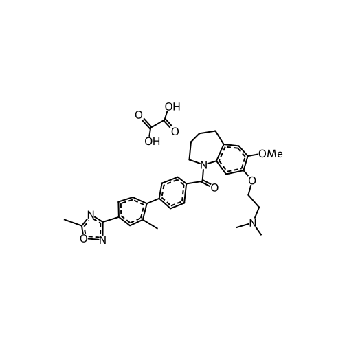 COc1cc2c(cc1OCCN(C)C)N(C(=O)c1ccc(-c3ccc(-c4noc(C)n4)cc3C)cc1)CCCC2.O=C(O)C(=O)O